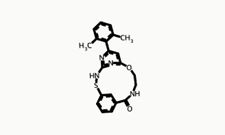 Cc1cccc(C)c1-c1cc2nc(n1)NSc1cccc(c1)C(=O)NCCO2